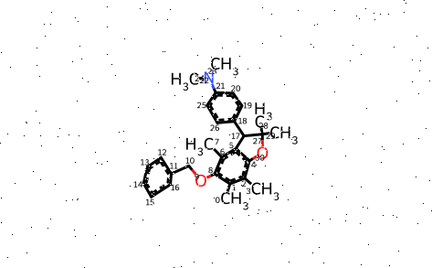 Cc1c(C)c2c(c(C)c1OCc1ccccc1)C(c1ccc(N(C)C)cc1)C(C)(C)O2